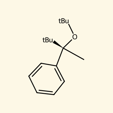 CC(C)(C)O[C@](C)(c1ccccc1)C(C)(C)C